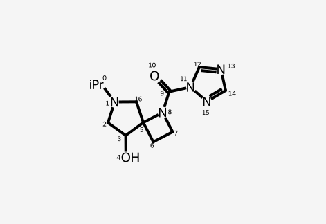 CC(C)N1CC(O)C2(CCN2C(=O)n2cncn2)C1